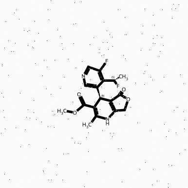 COC(=O)C1=C(C)NC2=C(C(=O)OC2)[C@@H]1c1cncc(F)c1[C@H](C)F